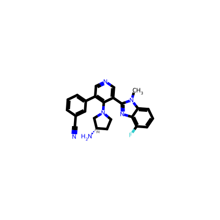 Cn1c(-c2cncc(-c3cccc(C#N)c3)c2N2CC[C@H](N)C2)nc2c(F)cccc21